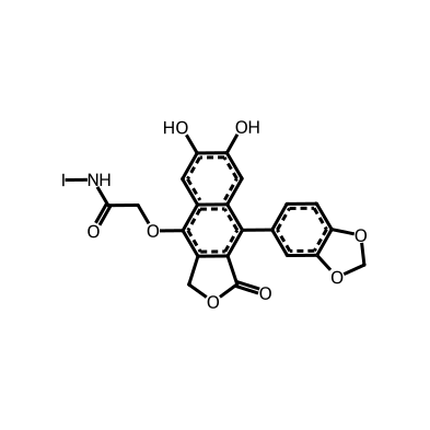 O=C(COc1c2c(c(-c3ccc4c(c3)OCO4)c3cc(O)c(O)cc13)C(=O)OC2)NI